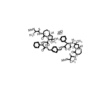 CNC(C)C(=S)N[C@H]1CCS[C@H]2CC(C)(C)[C@@H](C(=O)NC(C(=O)NCc3ccc(CNC(=O)C(NC(=O)[C@H]4N5C(=O)[C@@H](NC(=S)C(C)NC)CCS[C@H]5CC4(C)C)c4ccccc4)cc3)c3ccccc3)N2C1=O.Cl.Cl